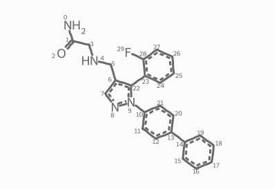 NC(=O)CNCc1cnn(-c2ccc(-c3ccccc3)cc2)c1-c1ccccc1F